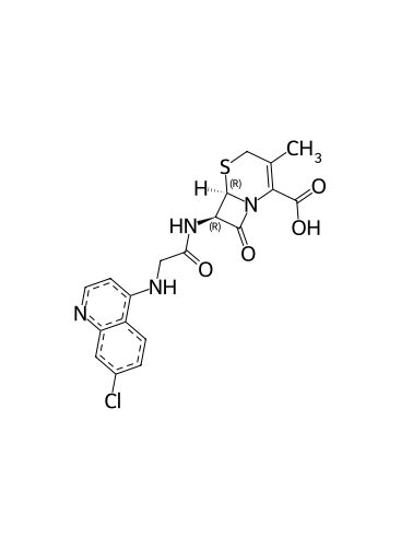 CC1=C(C(=O)O)N2C(=O)[C@@H](NC(=O)CNc3ccnc4cc(Cl)ccc34)[C@H]2SC1